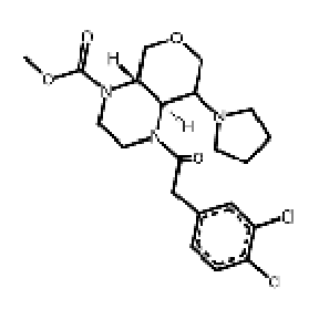 COC(=O)N1CCN(C(=O)Cc2ccc(Cl)c(Cl)c2)[C@@H]2C(N3CCCC3)COC[C@H]21